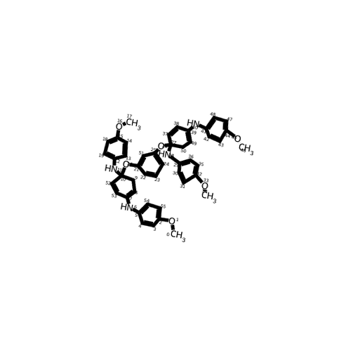 COc1ccc(NC2=CCC(Nc3ccc(OC)cc3)(Oc3cccc(OC4(Nc5ccc(OC)cc5)C=CC(Nc5ccc(OC)cc5)=CC4)c3)C=C2)cc1